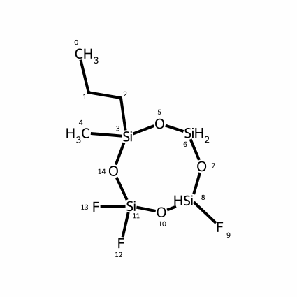 CCC[Si]1(C)O[SiH2]O[SiH](F)O[Si](F)(F)O1